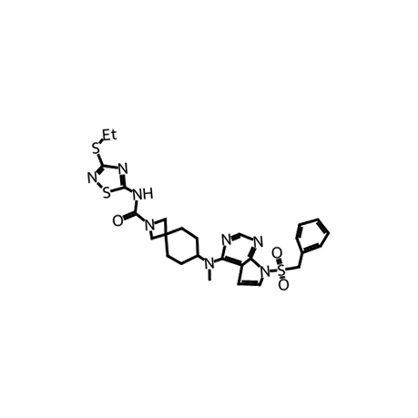 CCSc1nsc(NC(=O)N2CC3(CCC(N(C)c4ncnc5c4ccn5S(=O)(=O)Cc4ccccc4)CC3)C2)n1